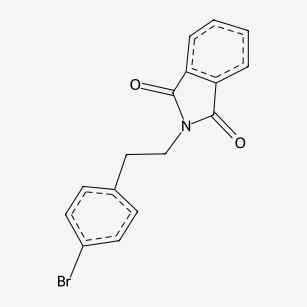 O=C1c2ccccc2C(=O)N1CCc1ccc(Br)cc1